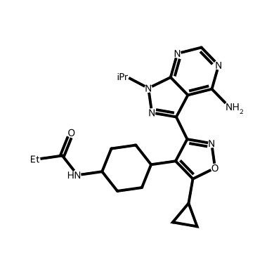 CCC(=O)NC1CCC(c2c(-c3nn(C(C)C)c4ncnc(N)c34)noc2C2CC2)CC1